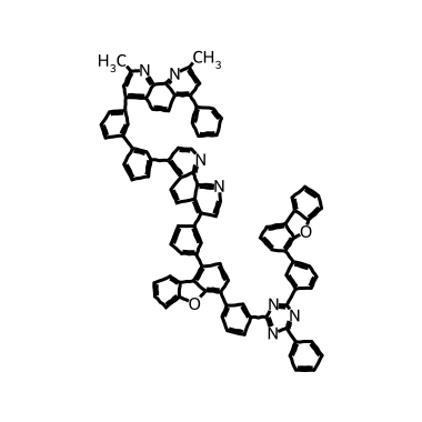 Cc1cc(-c2ccccc2)c2ccc3c(-c4cccc(-c5cccc(-c6ccnc7c6ccc6c(-c8cccc(-c9ccc(-c%10cccc(-c%11nc(-c%12ccccc%12)nc(-c%12cccc(-c%13cccc%14c%13oc%13ccccc%13%14)c%12)n%11)c%10)c%10oc%11ccccc%11c9%10)c8)ccnc67)c5)c4)cc(C)nc3c2n1